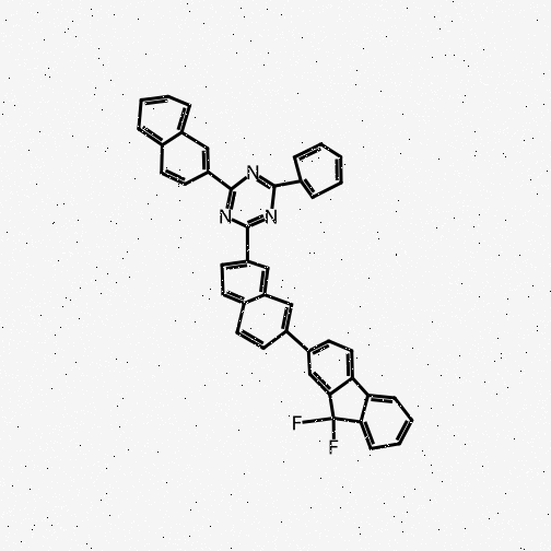 FC1(F)c2ccccc2-c2ccc(-c3ccc4ccc(-c5nc(-c6ccccc6)nc(-c6ccc7ccccc7c6)n5)cc4c3)cc21